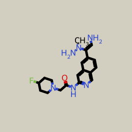 CN(N)/C(=C\N)c1ccc2cnc(NC(=O)CN3CCC(F)CC3)cc2c1